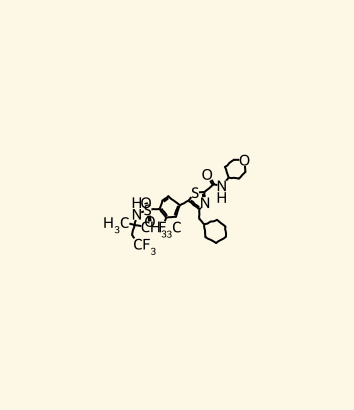 CC(C)(CC(F)(F)F)NS(=O)(=O)c1ccc(-c2sc(C(=O)NC3CCOCC3)nc2CC2CCCCC2)cc1C(F)(F)F